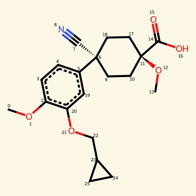 COc1ccc([C@]2(C#N)CC[C@@](OC)(C(=O)O)CC2)cc1OCC1CC1